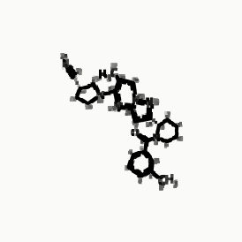 Cc1cccc(C(=O)N2CCCC[C@H]2c2cc3nc(N4CC[C@H](C#N)C4)c(C)cn3n2)c1